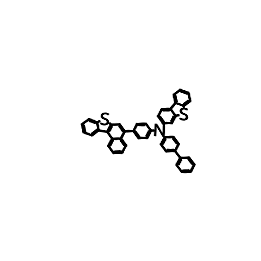 c1ccc(-c2ccc(N(c3ccc(-c4cc5sc6ccccc6c5c5ccccc45)cc3)c3ccc4c(c3)sc3ccccc34)cc2)cc1